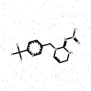 O=[N+]([O-])N=C1NCC=CN1Cc1ccc(C(F)(F)F)nc1